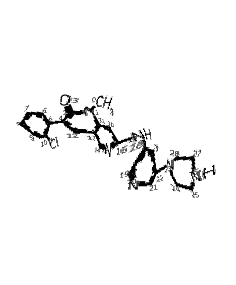 Cn1c(=O)c(-c2ccccc2Cl)cc2cnc(Nc3cncc(N4CCNCC4)c3)cc21